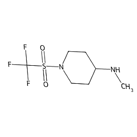 CNC1CCN(S(=O)(=O)C(F)(F)F)CC1